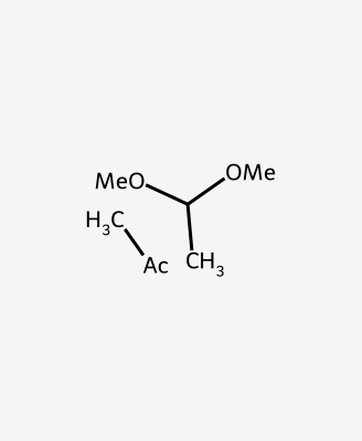 CC(C)=O.COC(C)OC